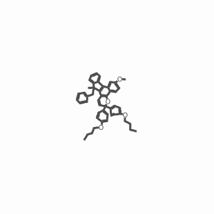 CCCCOc1ccc(C2(c3ccc(OCCCC)cc3)C=Cc3c4c(c5cc(OC)ccc5c3O2)-c2ccccc2C4(C)Cc2ccccc2)cc1